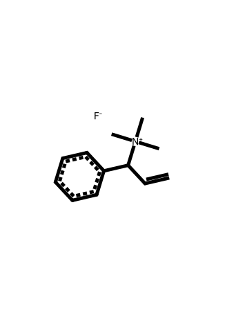 C=CC(c1ccccc1)[N+](C)(C)C.[F-]